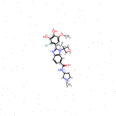 COc1cc(-c2nc3ccc(C(=O)NC4CCN(C)C4)cc3n2C2(C)COC2)c(F)c(O)c1O